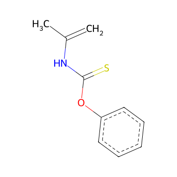 C=C(C)NC(=S)Oc1ccccc1